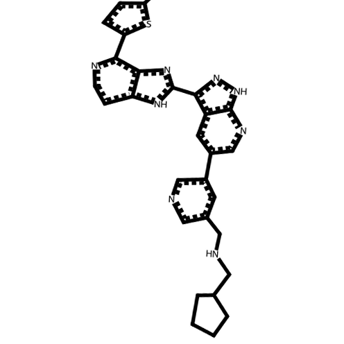 CC(=O)c1ccc(-c2nccc3[nH]c(-c4n[nH]c5ncc(-c6cncc(CNCC7CCCC7)c6)cc45)nc23)s1